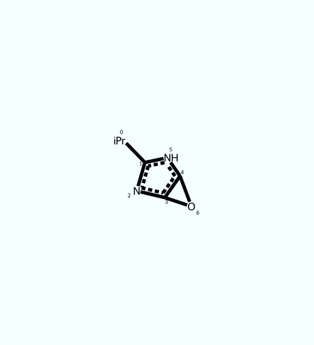 CC(C)c1nc2c([nH]1)O2